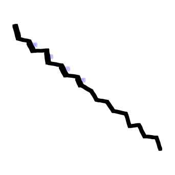 C=C/C=C/C=C/C=C/C=C/CCCCCCCCCC